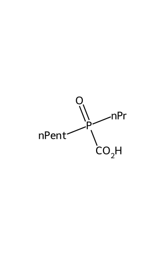 CCCCCP(=O)(CCC)C(=O)O